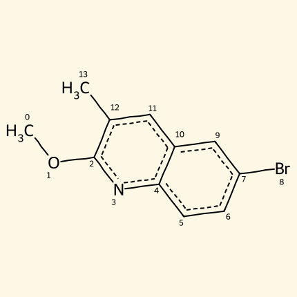 COc1nc2ccc(Br)cc2cc1C